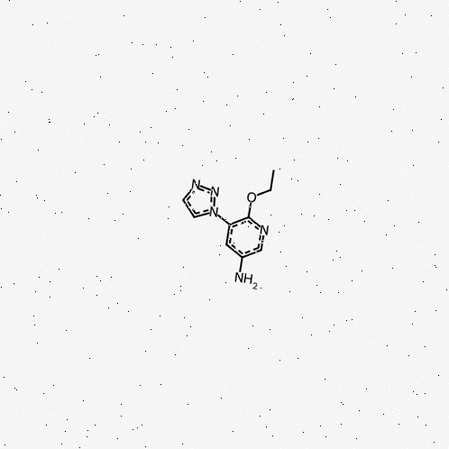 CCOc1ncc(N)cc1-n1ccnn1